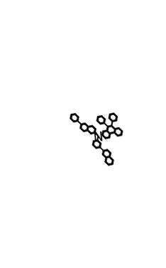 c1ccc(-c2ccc3cc(N(c4cccc(-c5ccc6ccccc6c5)c4)c4ccc5c(c4)c(-c4ccccc4)c(-c4ccccc4)c4ccccc45)ccc3c2)cc1